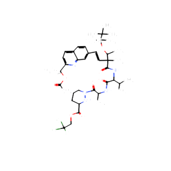 CC(=O)O[C@H](C)c1ccc2ccc(C=CC(C)(C(=O)NC(C(=O)NC(C)C(=O)N3CCCC(C(=O)OCC(Cl)(Cl)Cl)N3)C(C)C)C(C)O[Si](C)(C)C(C)(C)C)cc2n1